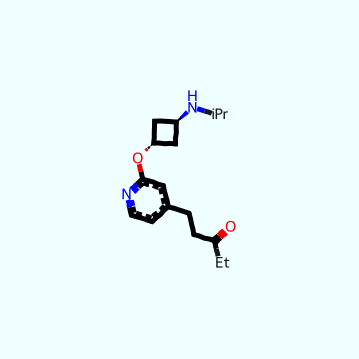 CCC(=O)CCc1ccnc(O[C@H]2C[C@H](NC(C)C)C2)c1